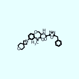 CN1C(=O)C(NC(=O)c2nnc(Cc3ccccc3)o2)COc2ccc(N3CC4(CCOCC4)C3)cc21